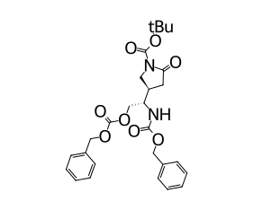 CC(C)(C)OC(=O)N1C[C@H]([C@@H](COC(=O)OCc2ccccc2)NC(=O)OCc2ccccc2)CC1=O